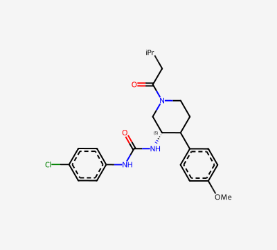 COc1ccc(C2CCN(C(=O)CC(C)C)C[C@H]2NC(=O)Nc2ccc(Cl)cc2)cc1